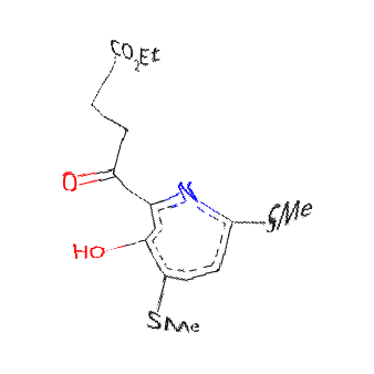 CCOC(=O)CCC(=O)c1nc(SC)cc(SC)c1O